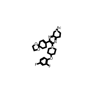 CC(=O)N1CCc2nc(N3CCC(Oc4ccc(F)cc4F)CC3)c(C3=CCC4(CC3)OCCO4)nc2C1